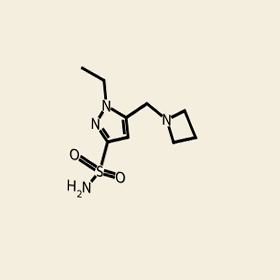 CCn1nc(S(N)(=O)=O)cc1CN1CCC1